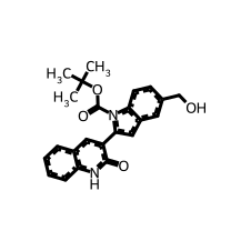 CC(C)(C)OC(=O)n1c(-c2cc3ccccc3[nH]c2=O)cc2cc(CO)ccc21